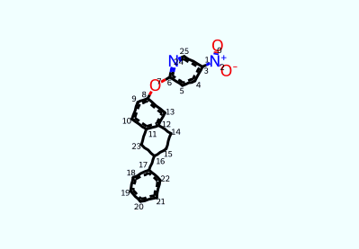 O=[N+]([O-])c1ccc(Oc2ccc3c(c2)CCC(c2ccccc2)C3)nc1